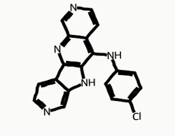 Clc1ccc(Nc2c3ccncc3nc3c2[nH]c2cnccc23)cc1